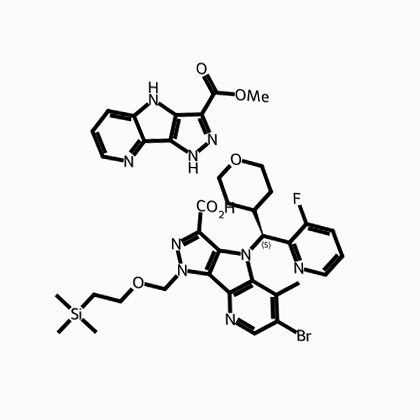 COC(=O)c1n[nH]c2c1[nH]c1cccnc12.Cc1c(Br)cnc2c3c(c(C(=O)O)nn3COCC[Si](C)(C)C)n([C@H](c3ncccc3F)C3CCOCC3)c12